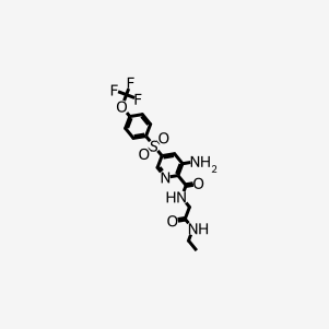 CCNC(=O)CNC(=O)c1ncc(S(=O)(=O)c2ccc(OC(F)(F)F)cc2)cc1N